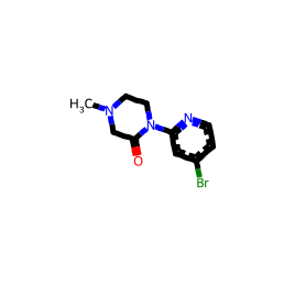 CN1CCN(c2cc(Br)ccn2)C(=O)C1